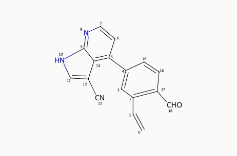 C=Cc1cc(-c2ccnc3[nH]cc(C#N)c23)ccc1C=O